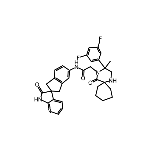 CC1(c2cc(F)cc(F)c2)CNC2(CCCCC2)C(=O)N1CC(=O)Nc1ccc2c(c1)CC1(C2)C(=O)Nc2ncccc21